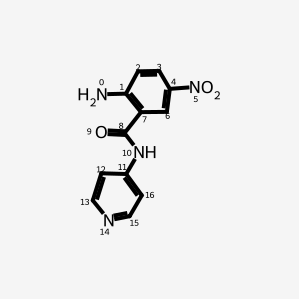 Nc1ccc([N+](=O)[O-])cc1C(=O)Nc1ccncc1